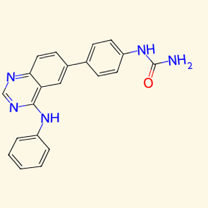 NC(=O)Nc1ccc(-c2ccc3ncnc(Nc4ccccc4)c3c2)cc1